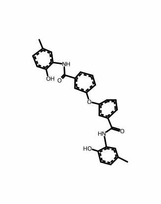 Cc1ccc(O)c(NC(=O)c2cccc(Oc3cccc(C(=O)Nc4cc(C)ccc4O)c3)c2)c1